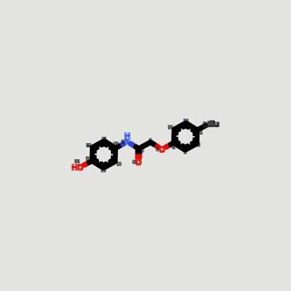 CC(C)(C)c1ccc(OCC(=O)Nc2ccc(O)cc2)cc1